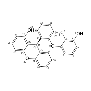 Cc1c(O)cccc1Oc1ccccc1[C@H]1c2ccccc2Oc2cccc(O)c21